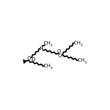 CCCCCCCCC(CCCCCCCC)OC(=O)CCCCCCCN(CCC)CCCCCC(=O)OC(CCCCCCCC)C1CC1